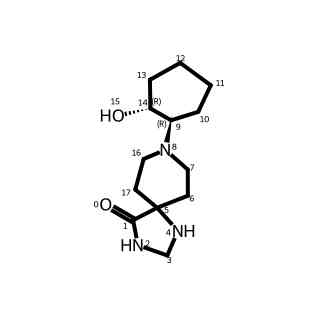 O=C1NCNC12CCN([C@@H]1CCCC[C@H]1O)CC2